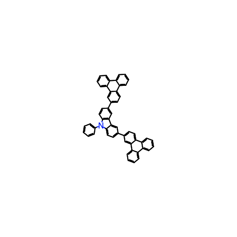 c1ccc(-n2c3ccc(-c4ccc5c6ccccc6c6ccccc6c5c4)cc3c3cc(-c4ccc5c6ccccc6c6ccccc6c5c4)ccc32)cc1